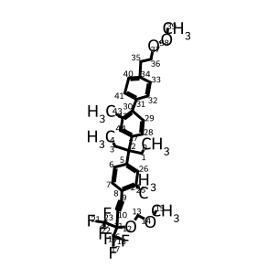 CCC(CC)(c1ccc(C#CC(OCOC)(C(F)(F)F)C(F)(F)F)c(C)c1)c1ccc(-c2ccc(CCOOC)cc2)c(C)c1